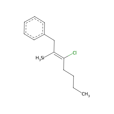 CCCCC(Cl)=C([SiH3])Cc1ccccc1